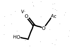 CC(=O)OC(=O)CO.[V]